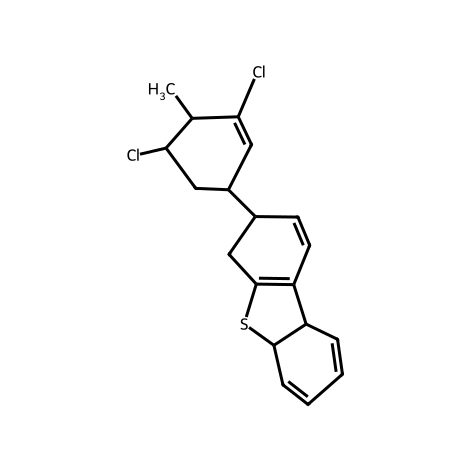 CC1C(Cl)=CC(C2C=CC3=C(C2)SC2C=CC=CC32)CC1Cl